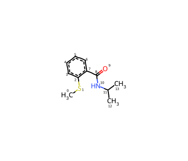 CSc1ccccc1C(=O)NC(C)C